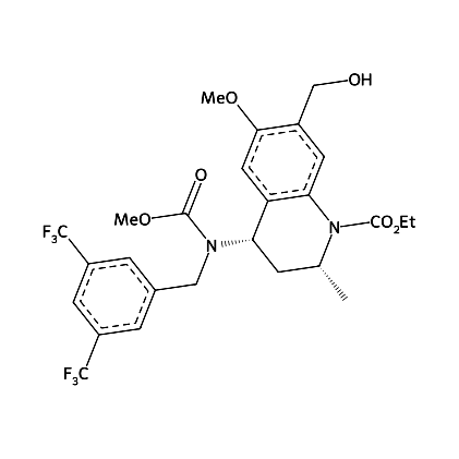 CCOC(=O)N1c2cc(CO)c(OC)cc2[C@@H](N(Cc2cc(C(F)(F)F)cc(C(F)(F)F)c2)C(=O)OC)C[C@H]1C